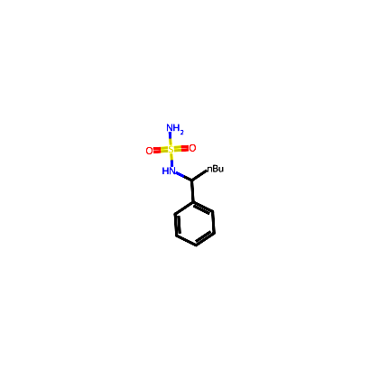 CCCCC(NS(N)(=O)=O)c1ccccc1